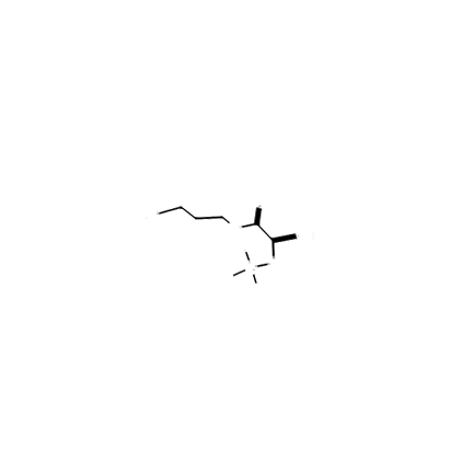 C=C(O[Si](C)(C)C)C(=O)OCCC[SiH3]